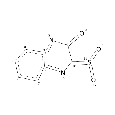 O=C1N=c2ccccc2=NC1=S(=O)=O